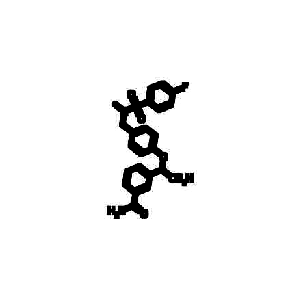 CN(Cc1ccc(OC(C(=O)O)c2cccc(C(N)=O)c2)cc1)S(=O)(=O)c1ccc(F)cc1